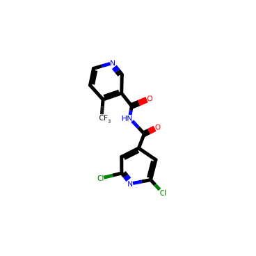 O=C(NC(=O)c1cnccc1C(F)(F)F)c1cc(Cl)nc(Cl)c1